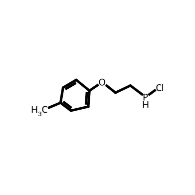 Cc1ccc(OCCPCl)cc1